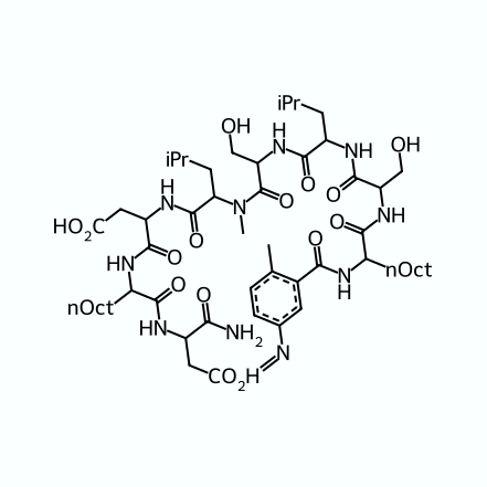 C=Nc1ccc(C)c(C(=O)NC(CCCCCCCC)C(=O)NC(CO)C(=O)NC(CC(C)C)C(=O)NC(CO)C(=O)N(C)C(CC(C)C)C(=O)NC(CC(=O)O)C(=O)NC(CCCCCCCC)C(=O)NC(CC(=O)O)C(N)=O)c1